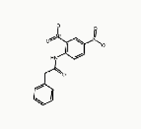 O=C(Cc1ccccc1)Nc1ccc([N+](=O)[O-])cc1[N+](=O)[O-]